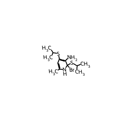 CC1=CC(SC(C)C)=C(N)C(Br)(SC(C)C)N1